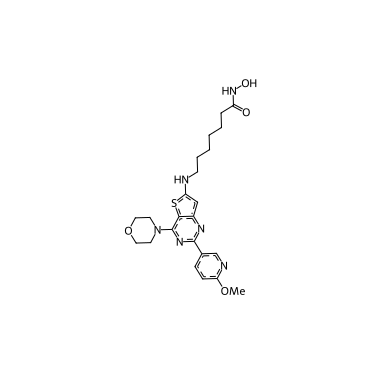 COc1ccc(-c2nc(N3CCOCC3)c3sc(NCCCCCCC(=O)NO)cc3n2)cn1